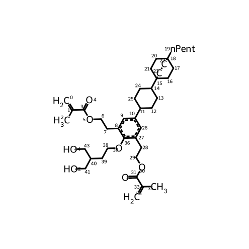 C=C(C)C(=O)OCCc1cc(C2CCC(C34CCC(CCCCC)(CC3)CC4)CC2)cc(CCOC(=O)C(=C)C)c1OCCC(CO)CO